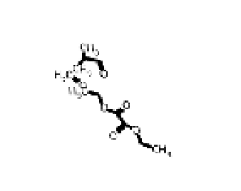 C=O.CC(C)C=O.CCOC(=O)C(=O)OCC